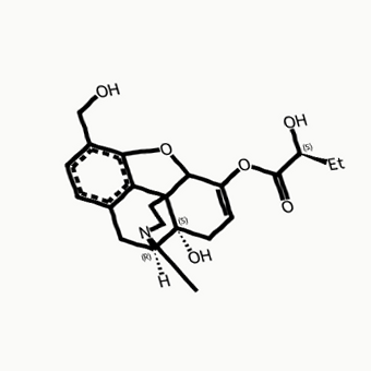 CC[C@H](O)C(=O)OC1=CC[C@@]2(O)[C@H]3Cc4ccc(CO)c5c4C2(CCN3C)C1O5